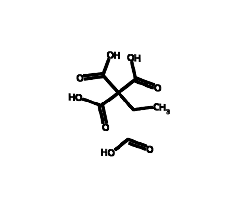 CCC(C(=O)O)(C(=O)O)C(=O)O.O=CO